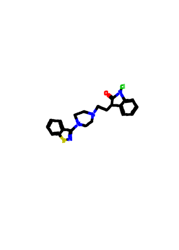 O=C1C(CCN2CCN(c3nsc4ccccc34)CC2)c2ccccc2N1Cl